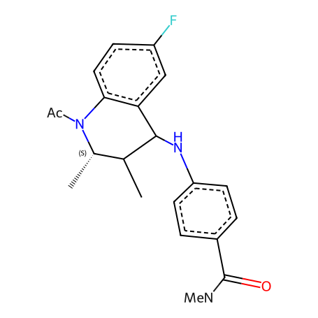 CNC(=O)c1ccc(NC2c3cc(F)ccc3N(C(C)=O)[C@@H](C)C2C)cc1